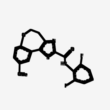 COc1ccc2c(c1)-c1sc(C(=O)Nc3c(F)cccc3F)nc1CCO2